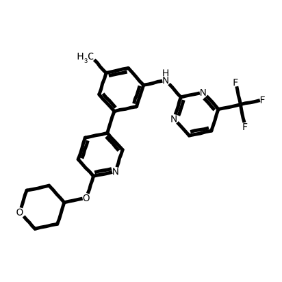 Cc1cc(Nc2nccc(C(F)(F)F)n2)cc(-c2ccc(OC3CCOCC3)nc2)c1